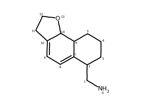 NCC1CCCC2C1=CC=C1CCOC12